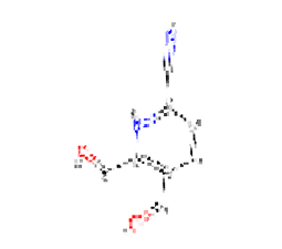 N#Cc1ccc(C=O)c(C=O)n1